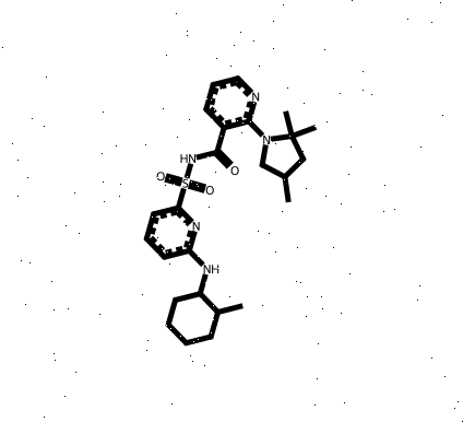 CC1CN(c2ncccc2C(=O)NS(=O)(=O)c2cccc(NC3CCCCC3C)n2)C(C)(C)C1